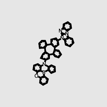 c1ccc2c(c1)Oc1cccc3c1B2c1ccccc1N3c1ccc2c(c1)-c1ccccc1-c1cc(-n3c4ccccc4n4c5ccccc5nc34)ccc1-c1ccccc1-2